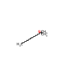 CCCCC/C=C/C/C=C/CCCCCCCC(=O)C(C)C